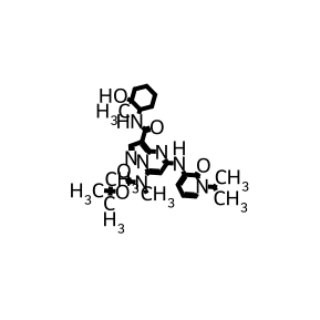 CC(C)n1cccc(Nc2cc(N(C)C(=O)OC(C)(C)C)n3ncc(C(=O)NC4CCCC[C@]4(C)O)c3n2)c1=O